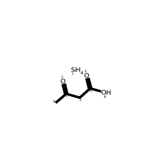 CC(=O)CC(=O)O.[SiH4]